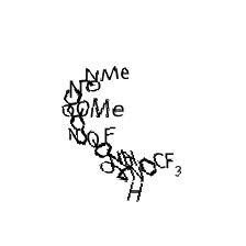 CNC(=O)CN1CCC(Oc2cc3nccc(Oc4ccc(NC(=O)C5(C(=O)Nc6ccc(C(F)(F)F)cc6)CC5)cc4F)c3cc2OC)CC1